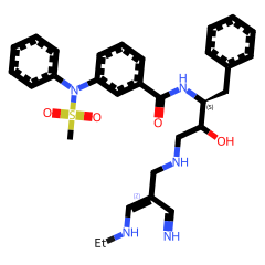 CCN/C=C(\C=N)CNCC(O)[C@H](Cc1ccccc1)NC(=O)c1cccc(N(c2ccccc2)S(C)(=O)=O)c1